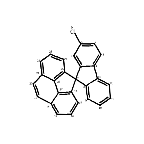 Clc1ccc2c(c1)C1(c3ccccc3-2)c2cccc3ccc4cccc1c4c23